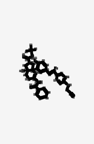 C#CCOc1cnc(/C(F)=C/c2ccc(F)c([C@]34CN(C(=O)OC(C)(C)C)C[C@@H]3CSC(NC(=O)c3ccccc3)=N4)c2)cn1